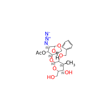 CC(=O)OC1[C@H](N=[N+]=[N-])C2OC[C@@H](O2)[C@H]1O[C@@H]1OC(CO)[C@@H](O)[C@H](C)C1OCc1ccccc1